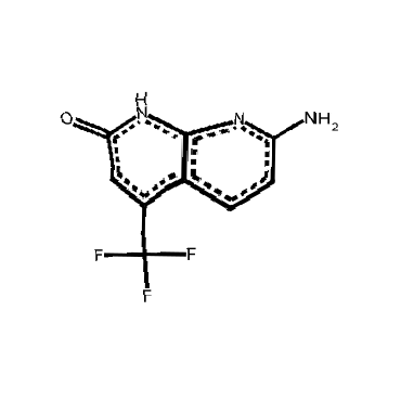 Nc1ccc2c(C(F)(F)F)cc(=O)[nH]c2n1